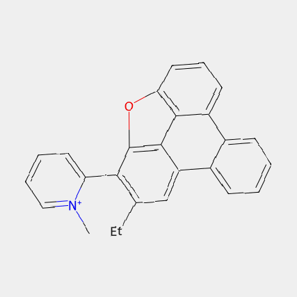 CCc1cc2c3ccccc3c3cccc4oc(c1-c1cccc[n+]1C)c2c43